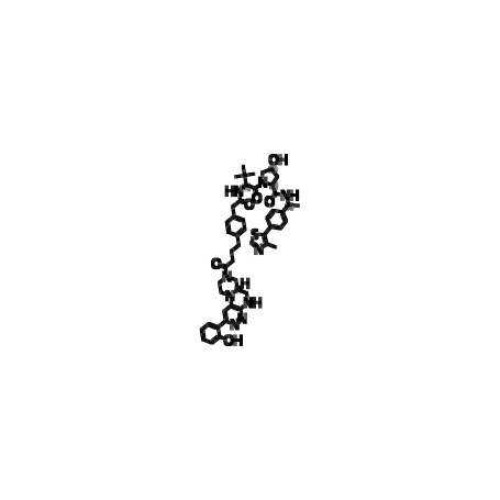 Cc1ncsc1-c1ccc([C@H](C)NC(=O)[C@@H]2C[C@@H](O)CN2C(=O)[C@@H](NC(=O)Cc2ccc(CCCC(=O)N3CCN4c5cc(-c6ccccc6O)nnc5NC[C@H]4C3)cc2)C(C)(C)C)cc1